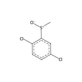 C[S+]([O-])c1cc(Cl)ccc1Cl